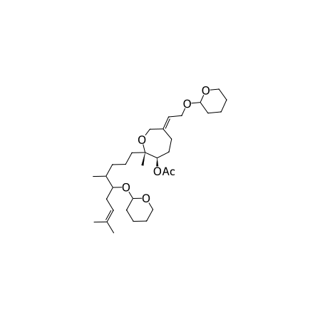 CC(=O)O[C@@H]1CCC(=CCOC2CCCCO2)CO[C@@]1(C)CCCC(C)C(CC=C(C)C)OC1CCCCO1